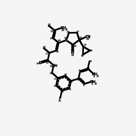 C/C(N)=C/C(=C\N)c1cc(F)cc(CNC(=O)C(C)/C=C(\C=C(\C)N)N2CCC(C#N)(C3CC3)C2=O)c1